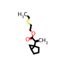 C=C(C(=O)OCCSCC)C12CCCC1C2